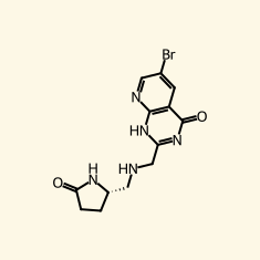 O=C1CC[C@@H](CNCc2nc(=O)c3cc(Br)cnc3[nH]2)N1